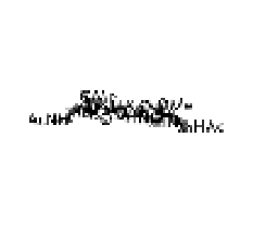 COc1nc(NC(=O)N2CC3CN(C(=O)Nc4ccc(CNCCNC(C)=O)c(OC)n4)CC3C2)ccc1CNCCNC(C)=O